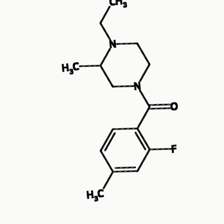 CCN1CCN(C(=O)c2ccc(C)cc2F)CC1C